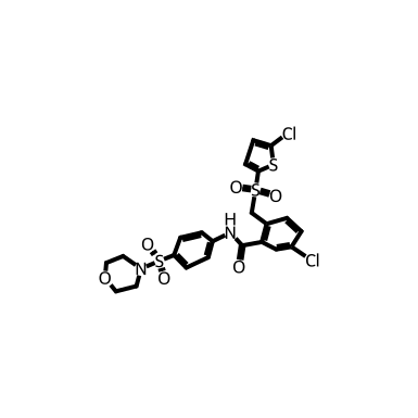 O=C(Nc1ccc(S(=O)(=O)N2CCOCC2)cc1)c1cc(Cl)ccc1CS(=O)(=O)c1ccc(Cl)s1